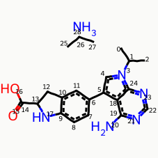 CC(C)n1cc(-c2ccc3c(c2)CC(C(=O)O)N3)c2c(N)ncnc21.CCC.N